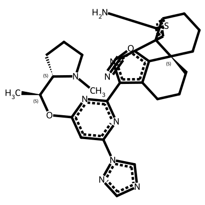 C[C@H](Oc1cc(-n2cncn2)nc(-c2noc3c2CCC[C@@]32CCCc3sc(N)c(C#N)c32)n1)[C@@H]1CCCN1C